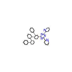 c1ccc(-c2ccccc2-c2ccccc2-c2ccc(-c3nc(-c4ccccn4)nc(-c4ccccn4)n3)cc2-c2ccccc2)cc1